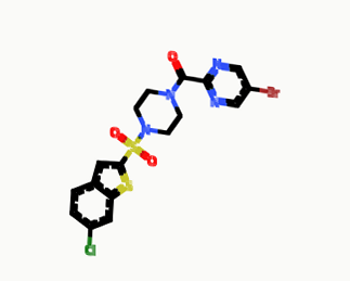 O=C(c1ncc(Br)cn1)N1CCN(S(=O)(=O)c2cc3ccc(Cl)cc3s2)CC1